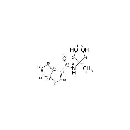 CC(CO)(CO)NC(=O)C1=CC=C2C=CC=C21